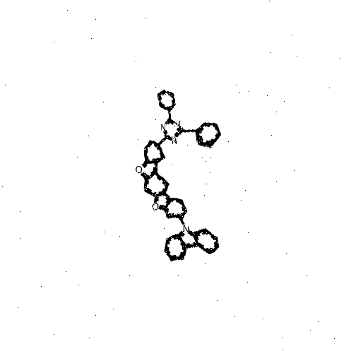 c1ccc(-c2nc(-c3ccccc3)nc(-c3ccc4oc5cc6oc7cc(-n8c9ccccc9c9ccccc98)ccc7c6cc5c4c3)n2)cc1